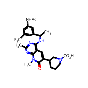 CC(=O)Nc1cc(C(C)Nc2nc(C)nc3c2cc(C2CCCN(C(=O)O)C2)c(=O)n3C)cc(C(F)(F)F)c1